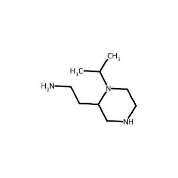 CC(C)N1CCNCC1CCN